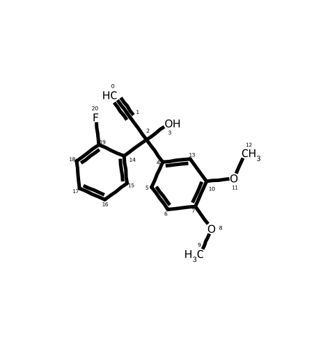 C#CC(O)(c1ccc(OC)c(OC)c1)c1ccccc1F